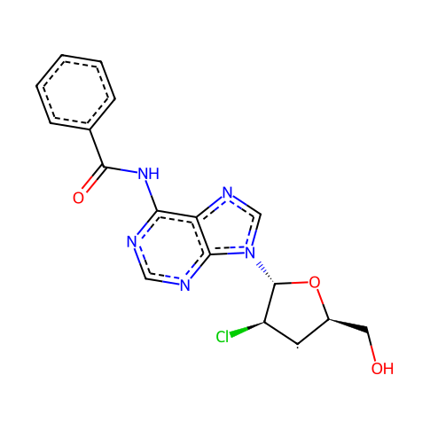 O=C(Nc1ncnc2c1ncn2[C@@H]1O[C@@H](CO)[CH][C@H]1Cl)c1ccccc1